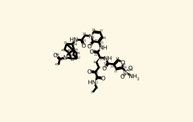 CCNC(=O)C(=O)CC[C@H](NC(=O)c1coc(S(N)(=O)=O)c1)C(=O)Nc1cccn(CC(=O)NC2C3CC4CC2C2(C3)C4N2C(C)=O)c1=O